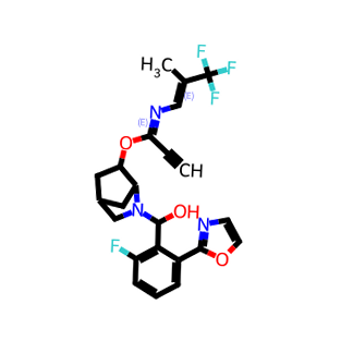 C#C/C(=N\C=C(/C)C(F)(F)F)OC1CC2CC1N(C(O)c1c(F)cccc1-c1ncco1)C2